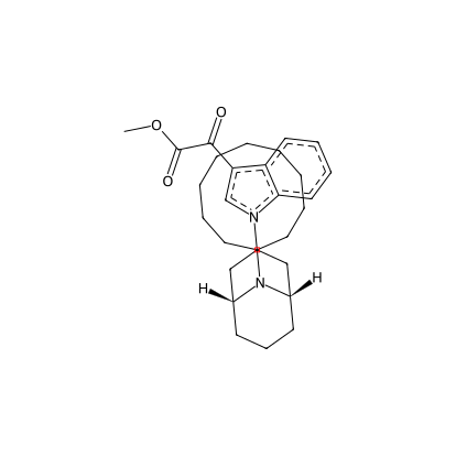 COC(=O)C(=O)c1cn(C2C[C@H]3CCC[C@@H](C2)N3C2CCCCCCCCC2)c2ccccc12